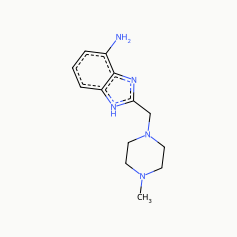 CN1CCN(Cc2nc3c(N)cccc3[nH]2)CC1